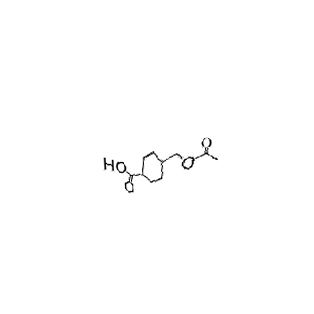 CC(=O)OCC1CCC(C(=O)O)CC1